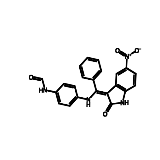 O=CNc1ccc(N/C(=C2\C(=O)Nc3ccc([N+](=O)[O-])cc32)c2ccccc2)cc1